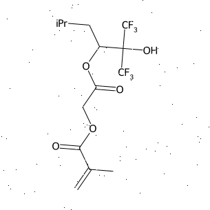 C=C(C)C(=O)OCC(=O)OC(CC(C)C)C(O)(C(F)(F)F)C(F)(F)F